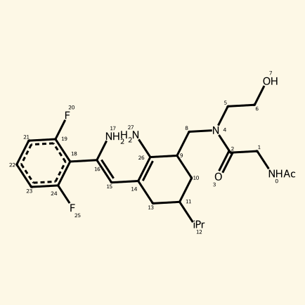 CC(=O)NCC(=O)N(CCO)CC1CC(C(C)C)CC(/C=C(\N)c2c(F)cccc2F)=C1N